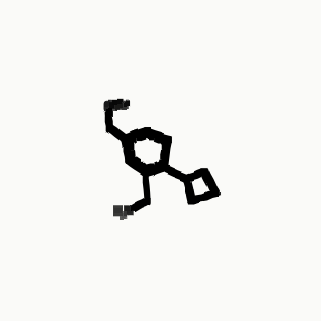 COCc1ccc(C2CCC2)c(CN)c1